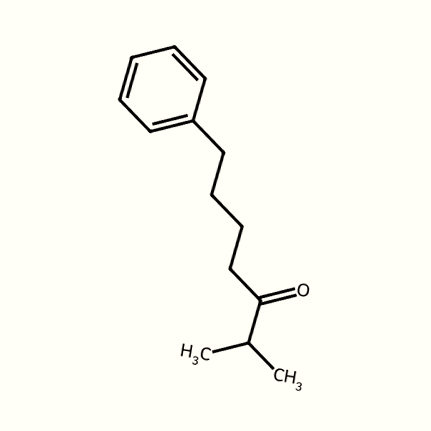 CC(C)C(=O)CCCCc1ccccc1